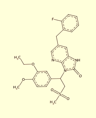 CCOc1cc(C(CS(C)(=O)=O)n2c(=O)[nH]c3cc(Cc4ccccc4F)cnc32)ccc1OC